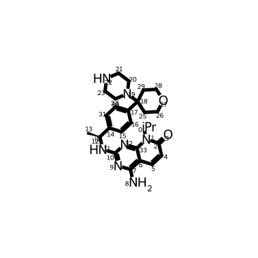 CC(C)n1c(=O)ccc2c(N)nc(N[C@@H](C)c3ccc(C4(N5CCNCC5)CCOCC4)cc3)nc21